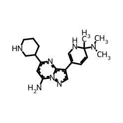 CN(C)C1(C)C=CC(c2cnn3c(N)cc(C4CCCNC4)nc23)=CN1